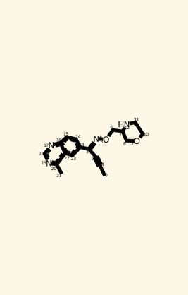 CC#C/C(=N\OCC1COCCN1)c1ccc2ncnc(C)c2c1